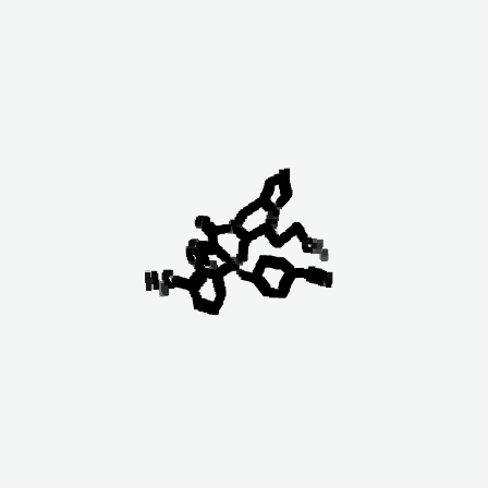 CCCCC1C[N@@+](Cc2ccc(C#N)cc2)(c2cccc(C)c2C)C(=O)C(=O)N1Cc1cnc[nH]1